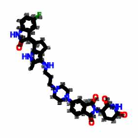 Cc1[nH]c2c(c1NCCCN1CCN(c3ccc4c(c3)C(=O)N(C3CCC(=O)NC3=O)C4=O)CC1)CC/C2=C1/C(=O)Nc2ccc(F)cc21